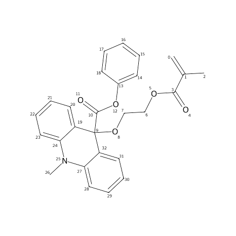 C=C(C)C(=O)OCCOC1(C(=O)Oc2ccccc2)c2ccccc2N(C)c2ccccc21